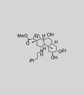 CCO[C@H]1C[C@@H]2CC[C@@H]3[C@H]([C@H](NCCC(C)C)C[C@]4(C)[C@@H](C(=O)OC)CC[C@@H]34)[C@@]2(C)C[C@@H]1O.Cl